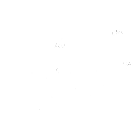 COc1cc(OC(C)=O)c2c(Sc3ccccc3)cccc2c1OC(C)=O